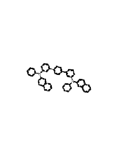 c1ccc(N(c2cccc(-c3ccc(-c4cccc(N(c5ccccc5)c5ccc6ccccc6c5)c4)cc3)c2)c2ccc3ccccc3c2)cc1